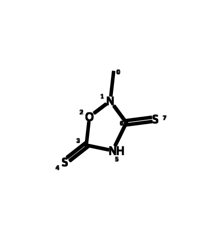 Cn1oc(=S)[nH]c1=S